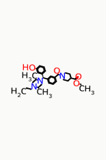 C=CCN1C[C@H](C)N([C@@H](c2cccc(O)c2)c2cccc(C(=O)N3CCC(C(=O)OCC)CC3)c2)C[C@H]1C